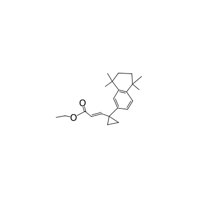 CCOC(=O)C=CC1(c2ccc3c(c2)C(C)(C)CCC3(C)C)CC1